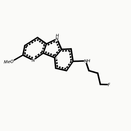 COc1ccc2[nH]c3cc(NCCCF)ccc3c2n1